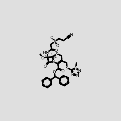 CO[C@@]1(NC(=O)CS(=O)(=O)CCC#N)C(=O)N2C(C(=O)OC(c3ccccc3)c3ccccc3)=C(CSc3nnnn3C)CS[C@@H]21